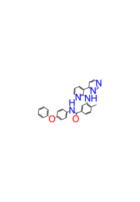 Cc1ccc(C(=O)Nc2ccc(Oc3ccccc3)cc2)cc1Nc1ncccc1-c1ccncn1